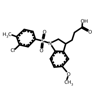 COc1ccc2c(c1)C(CCC(=O)O)CN2S(=O)(=O)c1ccc(C)c(Cl)c1